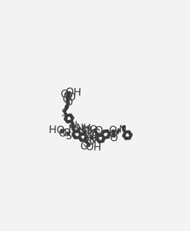 CN(CCS(=O)(=O)c1ccc2c(S(=O)(=O)O)c(N=Nc3c(S(=O)(=O)O)cc4cc(SOOO)c(N=Nc5ccc(SC#COOS(=O)(=O)O)cc5)c(N)c4c3O)ccc2c1)c1ccccc1